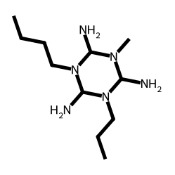 CCCCN1C(N)N(C)C(N)N(CCC)C1N